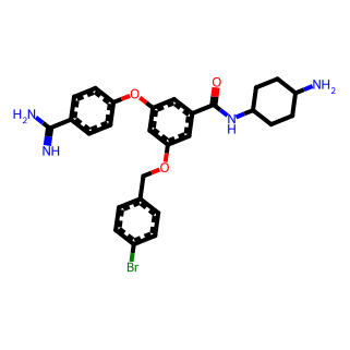 N=C(N)c1ccc(Oc2cc(OCc3ccc(Br)cc3)cc(C(=O)NC3CCC(N)CC3)c2)cc1